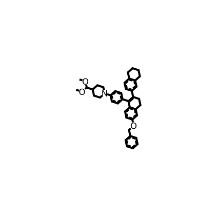 COC(OC)C1CCN(c2ccc(C3=C(c4ccc5c(c4)CCCC5)CCc4cc(OCc5ccccc5)ccc43)cc2)CC1